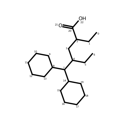 CCC(CC(CC)C(C1CCCCC1)C1CCCCC1)C(=O)O